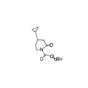 CC(C)(C)OC(=O)N1CCC(C2CC2)CC1=O